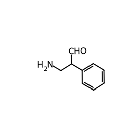 NCC(C=O)c1ccccc1